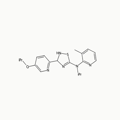 Cc1cccnc1N(C1=NC(c2ccc(OC(C)C)cn2)NS1)C(C)C